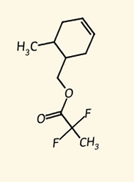 CC1CC=CCC1COC(=O)C(C)(F)F